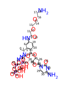 CC(N=[N+]=[N-])c1cc(NC(=O)COCCOCCN)ccc1C(=O)OC1C[C@H](n2ccc(N)nc2=O)O[C@@H]1COP(=O)(O)OP(=O)(O)OP(=O)(O)O